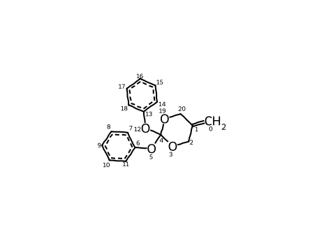 C=C1COC(Oc2ccccc2)(Oc2ccccc2)OC1